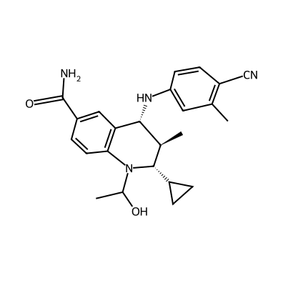 Cc1cc(N[C@H]2c3cc(C(N)=O)ccc3N(C(C)O)[C@@H](C3CC3)[C@@H]2C)ccc1C#N